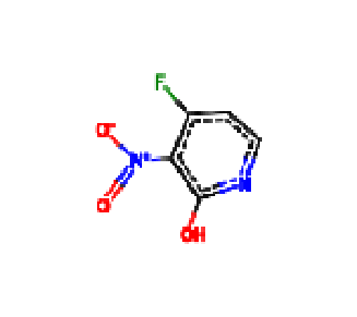 O=[N+]([O-])c1c(F)ccnc1O